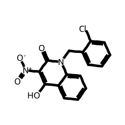 O=c1c([N+](=O)[O-])c(O)c2ccccc2n1Cc1ccccc1Cl